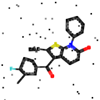 CCOC(=O)c1sc2c(ccc(=O)n2-c2ccccc2)c1C(=O)c1ccc(F)c(C)c1